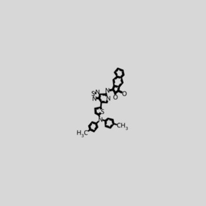 Cc1ccc(N(c2ccc(C)cc2)c2ccc(-c3cnc(/N=c4\c(=O)c(=O)c5cc6ccccc6cc45)c4nsnc34)s2)cc1